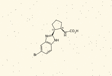 O=C(O)N[C@@H]1CCC[C@@H]1c1nc2cc(Br)ccc2[nH]1